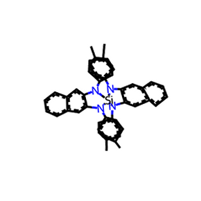 Cc1ccc(N2c3cc4ccccc4cc3N(c3ccc(C)cc3)[Si]23N(c2ccc(C)cc2)c2cc4ccccc4cc2N3c2ccc(C)cc2)cc1